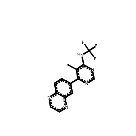 Cc1c(NC(F)(F)F)ncnc1-c1ccc2nccnc2c1